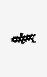 CCCc1cc2cc3c(Br)c4cc5ccccc5cc4c(Br)c3cc2cc1CCC